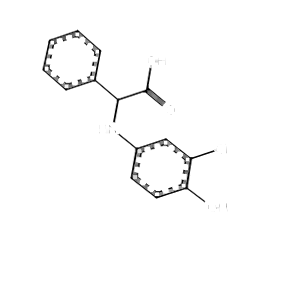 O=C(O)C(Nc1ccc(O)c(Cl)c1)c1ccccc1